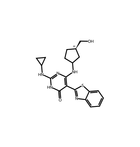 O=c1[nH]c(NC2CC2)nc(NC2CC[C@@H](CO)C2)c1-c1nc2ccccc2s1